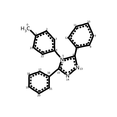 Cc1ccc(-n2c(-c3ccccc3)nnc2-c2ccccc2)cc1